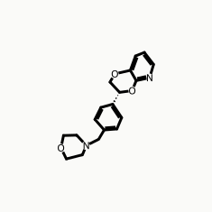 c1cnc2c(c1)OC[C@@H](c1ccc(CN3CCOCC3)cc1)O2